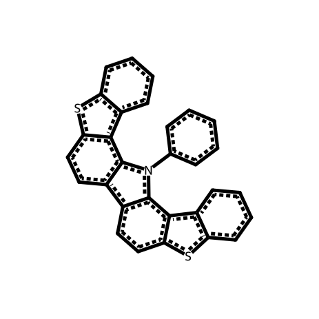 c1ccc(-n2c3c(ccc4sc5ccccc5c43)c3ccc4sc5ccccc5c4c32)cc1